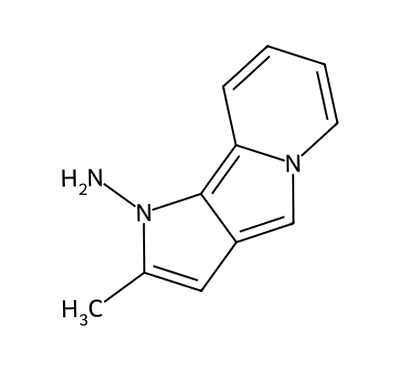 Cc1cc2cn3ccccc3c2n1N